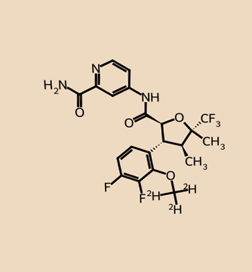 [2H]C([2H])([2H])Oc1c([C@@H]2[C@@H](C(=O)Nc3ccnc(C(N)=O)c3)O[C@](C)(C(F)(F)F)[C@H]2C)ccc(F)c1F